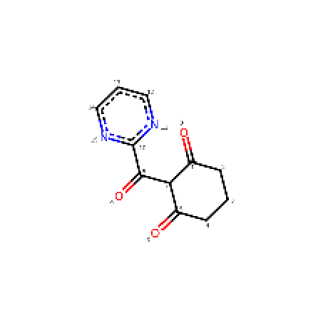 O=C1CCCC(=O)C1C(=O)c1ncccn1